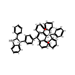 c1ccc(C2Nc3ccccc3N2c2ccc(-c3c4ccccc4c([Si](c4ccccc4)(c4ccccc4)c4ccccc4)c4ccccc34)cc2)cc1